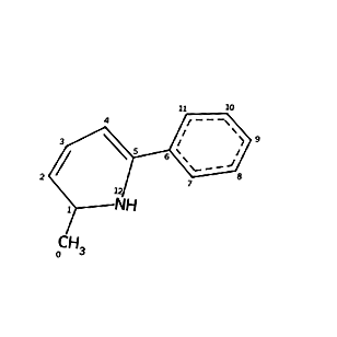 CC1C=CC=C(c2ccccc2)N1